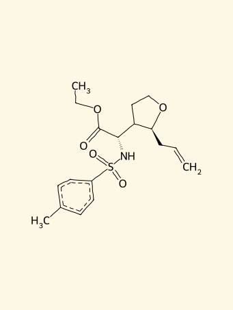 C=CC[C@@H]1OCCC1[C@H](NS(=O)(=O)c1ccc(C)cc1)C(=O)OCC